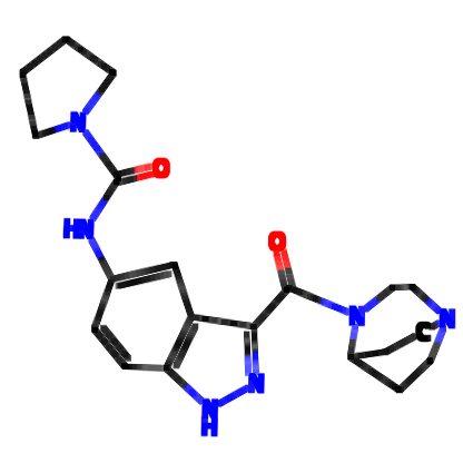 O=C(Nc1ccc2[nH]nc(C(=O)N3CCN4CCC3CC4)c2c1)N1CCCC1